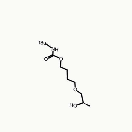 C[C@@H](O)COCCCCOC(=O)NC(C)(C)C